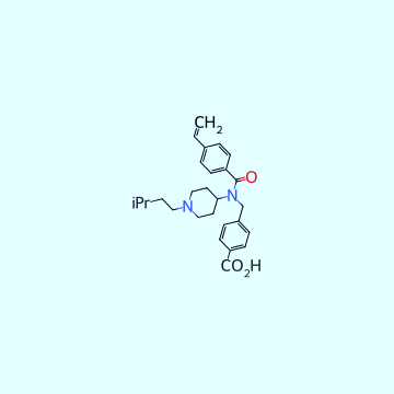 C=Cc1ccc(C(=O)N(Cc2ccc(C(=O)O)cc2)C2CCN(CCC(C)C)CC2)cc1